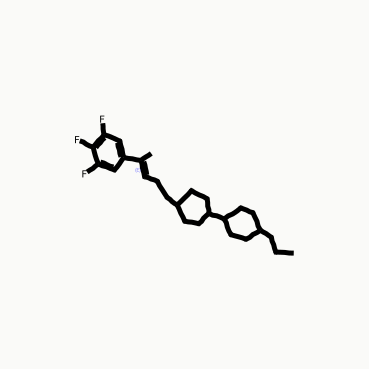 CCCC1CCC(C2CCC(CC/C=C(\C)c3cc(F)c(F)c(F)c3)CC2)CC1